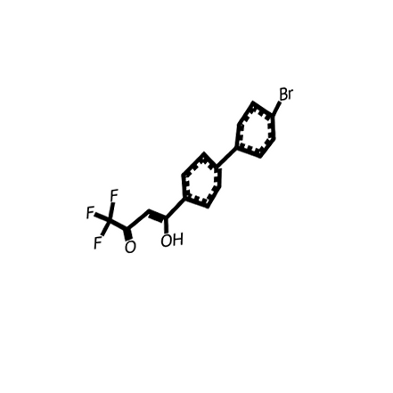 O=C(C=C(O)c1ccc(-c2ccc(Br)cc2)cc1)C(F)(F)F